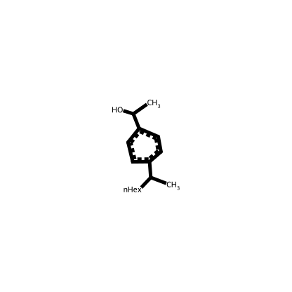 CCCCCCC(C)c1ccc(C(C)O)cc1